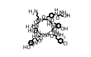 CC(O)C1NC(=O)[C@H](CCCCN)NC(=O)[C@@H](Cc2ccc(NC(=O)[C@@H](N)CO)cc2)NC(=O)[C@H](Cc2ccc(O)cc2)NC(=O)[C@H](NC(=O)[C@@H](N)Cc2ccc(Cl)cc2)CSSC[C@@H](C(=O)N[C@H](Cc2ccc(O)cc2)C(N)=O)NC1=O